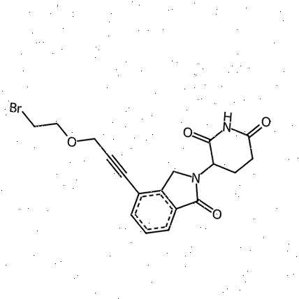 O=C1CCC(N2Cc3c(C#CCOCCBr)cccc3C2=O)C(=O)N1